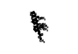 CCOC(=O)/C=C/c1cccc(C(O[Si](C)(C)C(C)(C)C)c2ccc3c(c2)N(COC)c2nccnc2S3)n1